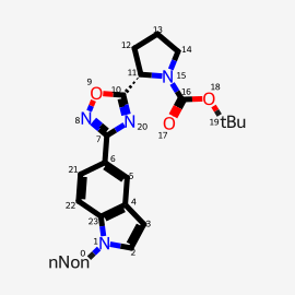 CCCCCCCCCn1ccc2cc(-c3noc([C@@H]4CCCN4C(=O)OC(C)(C)C)n3)ccc21